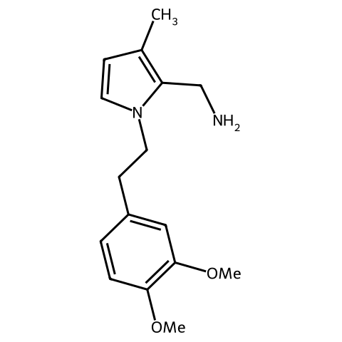 COc1ccc(CCn2ccc(C)c2CN)cc1OC